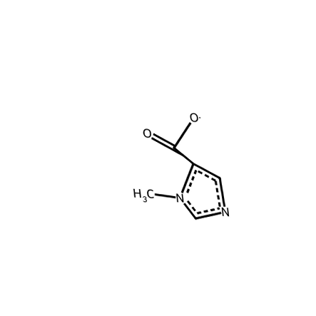 Cn1cncc1C([O])=O